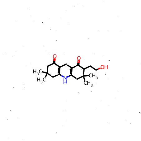 CC1(C)CC(=O)C2=C(C1)NC1=C(C2)C(=O)C(CCO)C(C)(C)C1